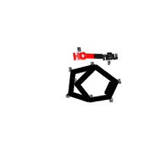 C1=CC2CCC1C2.CCCCO